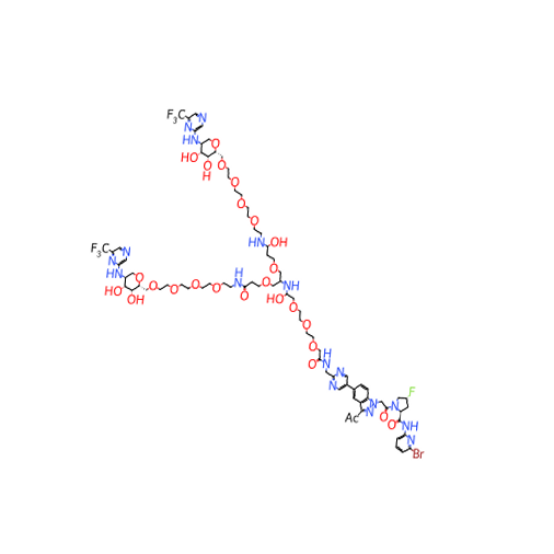 CC(=O)c1nn(CC(=O)N2C[C@H](F)C[C@H]2C(=O)Nc2cccc(Br)n2)c2ccc(-c3cnc(CNC(=O)COCCOCCOCC(O)NC(COCCC(=O)NCCOCCOCCOCCOC[C@H]4OC[C@H](Nc5cncc(C(F)(F)F)n5)[C@@H](O)[C@H]4O)COCCC(O)NCCOCCOCCOCCOC[C@H]4OC[C@H](Nc5cncc(C(F)(F)F)n5)[C@@H](O)[C@H]4O)nc3)cc12